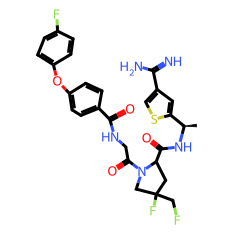 C[C@@H](NC(=O)C1CC(F)(CF)CN1C(=O)CNC(=O)c1ccc(Oc2ccc(F)cc2)cc1)c1cc(C(=N)N)cs1